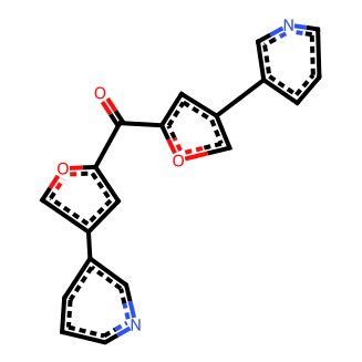 O=C(c1cc(-c2cccnc2)co1)c1cc(-c2cccnc2)co1